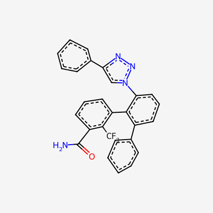 NC(=O)c1cccc(-c2c(-c3ccccc3)cccc2-n2cc(-c3ccccc3)nn2)c1C(F)(F)F